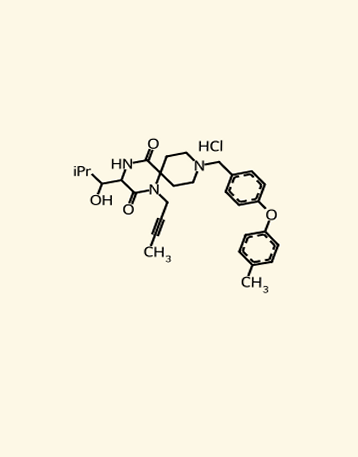 CC#CCN1C(=O)C(C(O)C(C)C)NC(=O)C12CCN(Cc1ccc(Oc3ccc(C)cc3)cc1)CC2.Cl